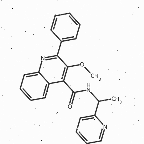 COc1c(-c2ccccc2)nc2ccccc2c1C(=O)NC(C)c1ccccn1